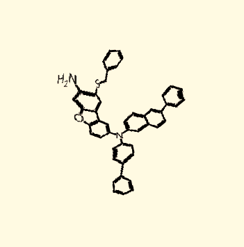 Nc1cc2oc3ccc(N(c4ccc(-c5ccccc5)cc4)c4ccc5cc(-c6ccccc6)ccc5c4)cc3c2cc1SCc1ccccc1